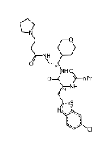 CCCC(=O)N[C@@H](Cc1nc2ccc(Cl)cc2s1)C(=O)N[C@H](CNC(=O)C(C)CN1CCCC1)C1CCOCC1